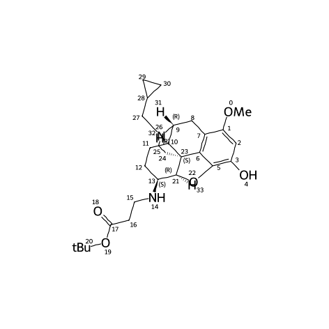 COc1cc(O)c2c3c1C[C@@H]1[C@@H]4CC[C@H](NCCC(=O)OC(C)(C)C)[C@H](O2)[C@]34CCN1CC1CC1